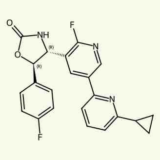 O=C1N[C@H](c2cc(-c3cccc(C4CC4)n3)cnc2F)[C@@H](c2ccc(F)cc2)O1